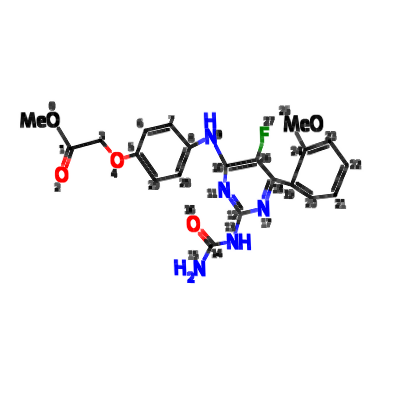 COC(=O)COc1ccc(Nc2nc(NC(N)=O)nc(-c3ccccc3OC)c2F)cc1